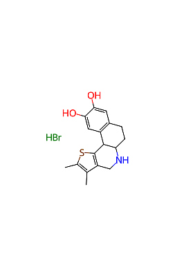 Br.Cc1sc2c(c1C)CNC1CCc3cc(O)c(O)cc3C21